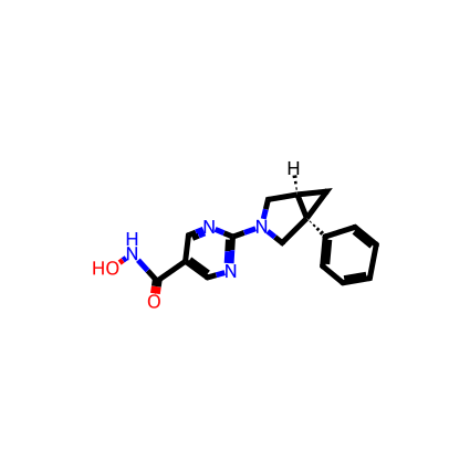 O=C(NO)c1cnc(N2C[C@H]3C[C@@]3(c3ccccc3)C2)nc1